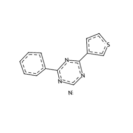 [N].c1ccc(-c2ncnc(-c3ccsc3)n2)cc1